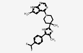 Cc1cc2c(N3CCC(C)(c4nc(C)c(-c5ccc(C(F)F)cc5)[nH]4)CC3)ncnc2[nH]1